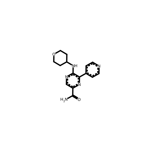 NC(=O)c1cnc(NC2CCOCC2)c(-c2ccncc2)n1